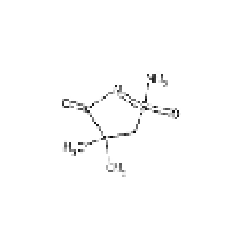 CC1(C)CS(N)(=O)=NC1=O